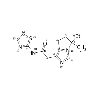 CCC1(C)CCc2c(CC(=O)Nc3nccs3)ncn21